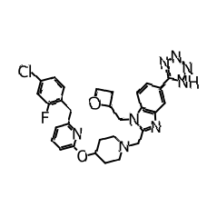 Fc1cc(Cl)ccc1Cc1cccc(OC2CCN(Cc3nc4cc(-c5nnn[nH]5)ccc4n3CC3CCO3)CC2)n1